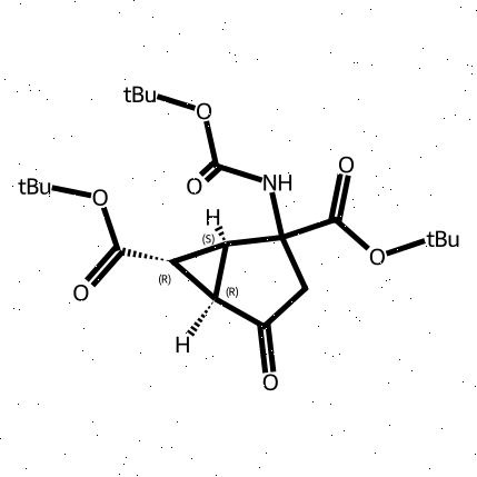 CC(C)(C)OC(=O)NC1(C(=O)OC(C)(C)C)CC(=O)[C@H]2[C@H](C(=O)OC(C)(C)C)[C@H]21